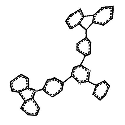 c1ccc(-c2nc(-c3ccc(C4c5ccccc5-c5ccccc54)cc3)cc(-c3ccc(-n4c5ccccc5c5ccccc54)cc3)n2)cc1